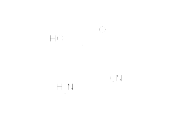 N#C[C@H](N)C(=O)O